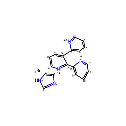 [Ru].c1c[nH]cn1.c1ccc(-c2cccnc2-c2ccccn2)nc1